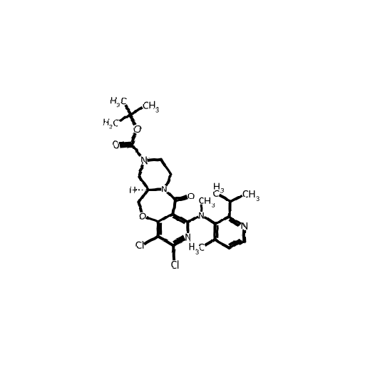 Cc1ccnc(C(C)C)c1N(C)c1nc(Cl)c(Cl)c2c1C(=O)N1CCN(C(=O)OC(C)(C)C)C[C@@H]1CO2